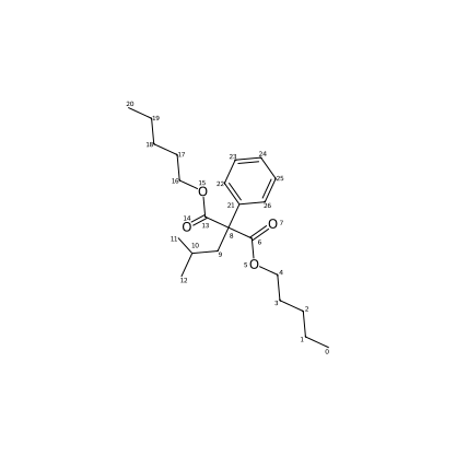 CCCCCOC(=O)C(CC(C)C)(C(=O)OCCCCC)c1ccccc1